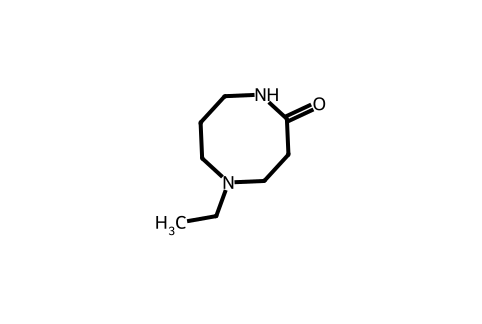 CCN1CCCNC(=O)CC1